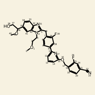 COCCn1c(Cc2ccc(-c3cccc(OCc4ccc(C#N)cc4F)n3)cc2F)nc2ccc(C(CO)OC)cc21